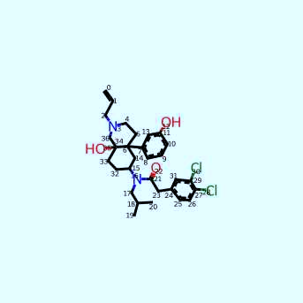 C=CCN1CCC2(c3cccc(O)c3)CC(N(CC(C)C)C(=O)Cc3ccc(Cl)c(Cl)c3)CCC2(O)C1